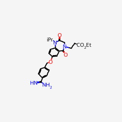 CCOC(=O)CCN1CC(=O)N(C(C)C)c2ccc(OCc3ccc(C(=N)N)cc3)cc2C1=O